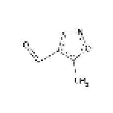 Cc1oncc1C=O